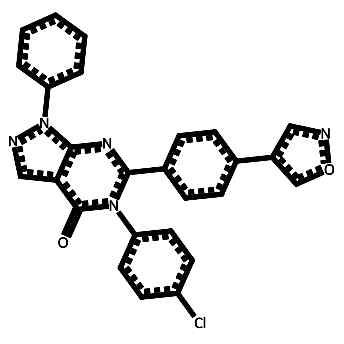 O=c1c2cnn(-c3ccccc3)c2nc(-c2ccc(-c3cnoc3)cc2)n1-c1ccc(Cl)cc1